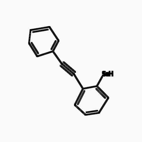 [SeH]c1ccccc1C#Cc1ccccc1